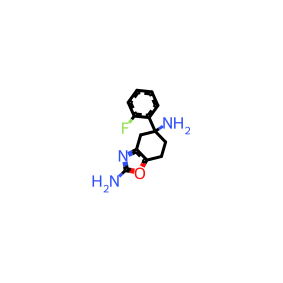 Nc1nc2c(o1)CCC(N)(c1ccccc1F)C2